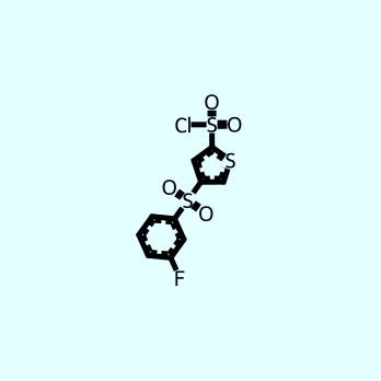 O=S(=O)(Cl)c1cc(S(=O)(=O)c2cccc(F)c2)cs1